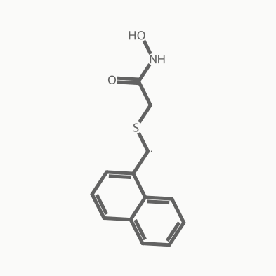 O=C(CS[CH]c1cccc2ccccc12)NO